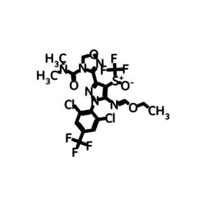 CCOC=Nc1c([S+]([O-])C(F)(F)F)c(C2=NOCN2C(=O)N(C)C)nn1-c1c(Cl)cc(C(F)(F)F)cc1Cl